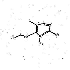 Cc1ccc(C(C)C)c(P)c1NCC(C)C